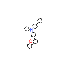 c1ccc(-c2ccc(N(c3ccccc3)c3ccc(-c4cccc5c4oc4ccccc45)cc3)cc2)cc1